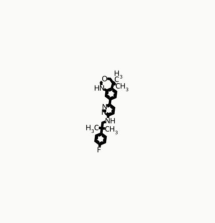 CC(C)(CNc1ccc(-c2ccc3c(c2)NCOCC3(C)C)nn1)c1ccc(F)cc1